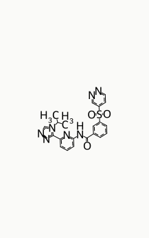 CC(C)n1cnnc1-c1cccc(NC(=O)c2cccc(S(=O)(=O)c3ccnnc3)c2)n1